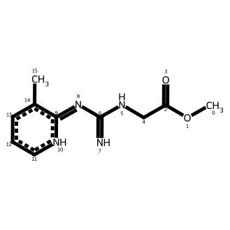 COC(=O)CNC(=N)/N=c1\[nH]cccc1C